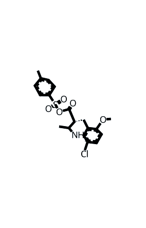 COc1ccc(Cl)cc1C[C@@H](C(=O)OS(=O)(=O)c1ccc(C)cc1)C(C)N